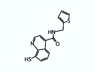 O=C(NCc1cccs1)c1ccnc2c(S)cccc12